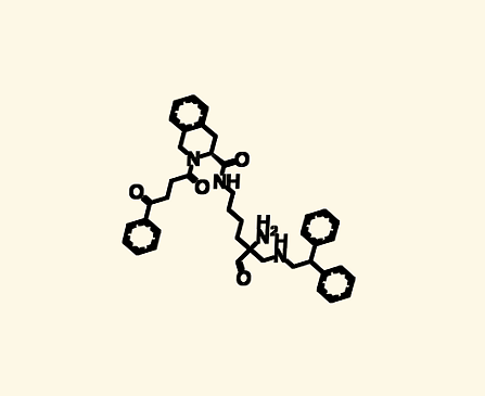 NC(C=O)(CCCCNC(=O)[C@@H]1Cc2ccccc2CN1C(=O)CCC(=O)c1ccccc1)CNCC(c1ccccc1)c1ccccc1